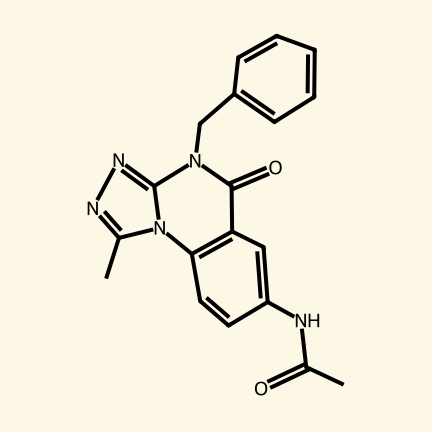 CC(=O)Nc1ccc2c(c1)c(=O)n(Cc1ccccc1)c1nnc(C)n21